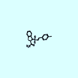 Cc1ccc(/C=C/S(=O)(=O)N2c3ccccc3CC2C(N)=O)cc1